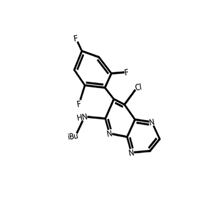 CCC(C)Nc1nc2nccnc2c(Cl)c1-c1c(F)cc(F)cc1F